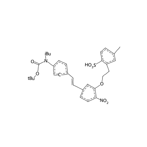 CCC(C)N(C(=O)OC(C)(C)C)c1ccc(C=Cc2ccc([N+](=O)[O-])c(OCCc3cc(C)ccc3S(=O)(=O)O)c2)cc1